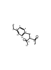 CCc1ccc(CC(C(C)=O)C(C)=O)cc1